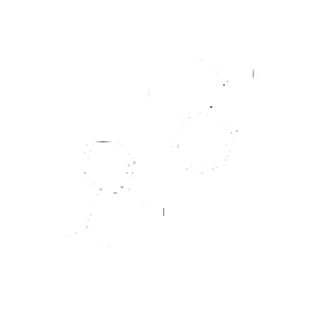 CC(=O)c1cccc(-c2cccc(C(C)=O)c2C)c1C